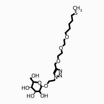 CSCCCCCOCCOCCOCc1cn(CCO[C@H]2OC(CO)[C@@H](O)[C@H](O)C2O)nn1